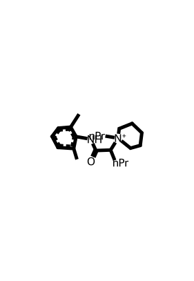 CCCC(C(=O)Nc1c(C)cccc1C)[N+]1(CCC)CCCCC1